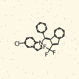 FC(F)(F)C1=Cc2ccccc2/C1=C(\c1ccccc1)n1ccc2cc(Cl)ccc21